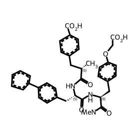 CNC(=O)[C@H](Cc1ccc(OCC(=O)O)cc1)NC(=O)[C@H](Cc1ccc(-c2ccccc2)cc1)NC(=O)[C@@H](C)Cc1ccc(C(=O)O)cc1